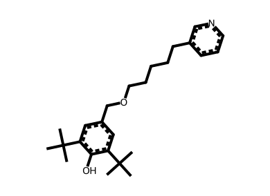 CC(C)(C)c1cc(COCCCCCc2cccnc2)cc(C(C)(C)C)c1O